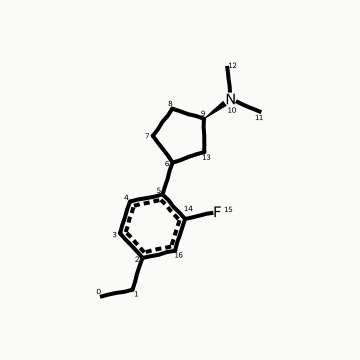 CCc1ccc(C2CC[C@@H](N(C)C)C2)c(F)c1